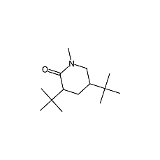 CN1CC(C(C)(C)C)CC(C(C)(C)C)C1=O